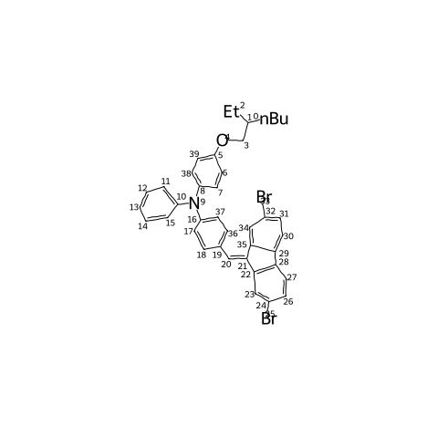 CCCCC(CC)COc1ccc(N(c2ccccc2)c2ccc(C=C3c4cc(Br)ccc4-c4ccc(Br)cc43)cc2)cc1